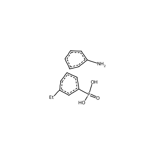 CCc1cccc(P(=O)(O)O)c1.Nc1ccccc1